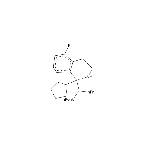 CCCCCC(CCC)C1(C2CCCC2)NCCc2c(F)cccc21